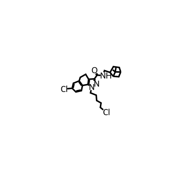 CC1(C)C2CCC(CNC(=O)c3nn(CCCCCCl)c4c3CCc3cc(Cl)ccc3-4)C1C2